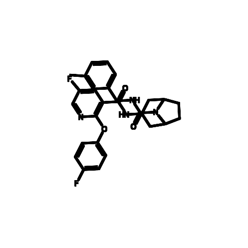 Cc1cccc(CNC(=O)N2C3CCC2CC(NC(=O)c2cc(F)cnc2Oc2ccc(F)cc2)C3)c1